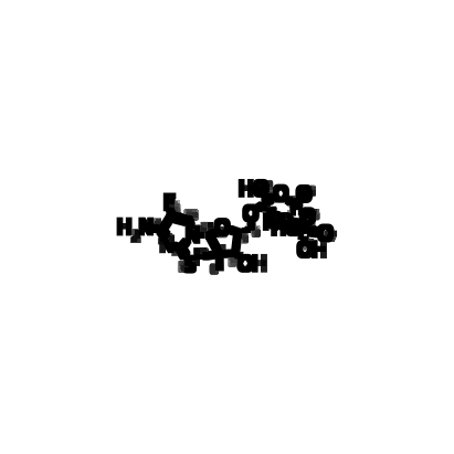 CC1(F)[C@@H](O)[C@@H](COP(=O)(O)OP(=O)(O)OP(=O)(O)O)O[C@H]1n1cc(F)c(N)nc1=S